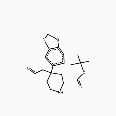 CC(C)(C)OC=O.O=CCC1(c2ccc3c(c2)OCO3)CCNCC1